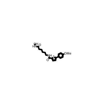 COc1ccc(-c2ccc(C(=O)NCCCCCC(=O)NO)s2)cc1